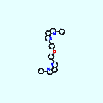 c1ccc(-c2ccc3ccc4ccc(-c5ccc(Oc6cccc(-c7ccc8ccc9ccc(-c%10ccccc%10)nc9c8n7)c6)cc5)nc4c3n2)cc1